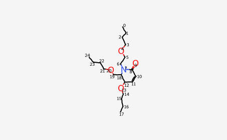 CCCCOCCN1C(=O)C=CC(OCCCC)C1COCCCC